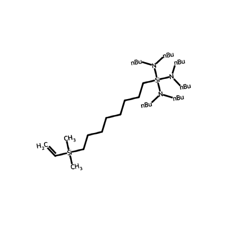 C=C[Si](C)(C)CCCCCCCC[Si](N(CCCC)CCCC)(N(CCCC)CCCC)N(CCCC)CCCC